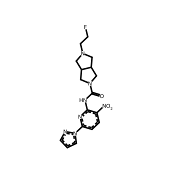 O=C(Nc1nc(-n2cccn2)ccc1[N+](=O)[O-])N1CC2CN(CCF)CC2C1